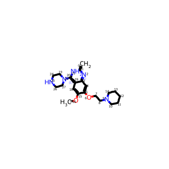 C=C/N=C1/C=C(OCCN2CCCCC2)C(OC)=C/C1=C(/N)N1CCNCC1